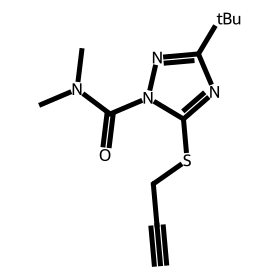 C#CCSc1nc(C(C)(C)C)nn1C(=O)N(C)C